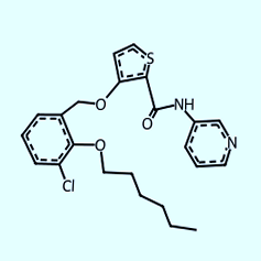 CCCCCCOc1c(Cl)cccc1COc1ccsc1C(=O)Nc1cccnc1